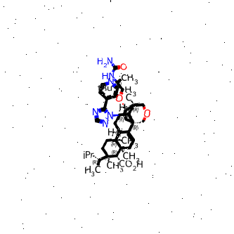 CC(C)[C@@H](C)[C@@]1(C)CC[C@]2(C)[C@H]3CC[C@@H]4[C@@]5(COC[C@]4(C)[C@@H](OC[C@](C)(NC(N)=O)C(C)(C)C)[C@H](n4ncnc4-c4ccncc4)C5)C3=CC[C@@]2(C)[C@@H]1C(=O)O